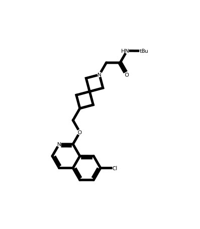 CC(C)(C)NC(=O)CN1CC2(CC(COc3nccc4ccc(Cl)cc34)C2)C1